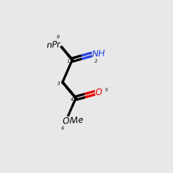 CCCC(=N)CC(=O)OC